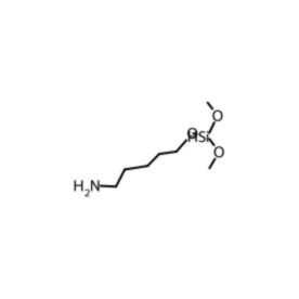 CO[SiH](OC)OCCCCCN